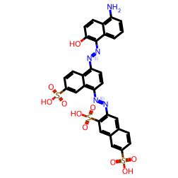 Nc1cccc2c(/N=N/c3ccc(/N=N/c4cc5ccc(S(=O)(=O)O)cc5cc4S(=O)(=O)O)c4cc(S(=O)(=O)O)ccc34)c(O)ccc12